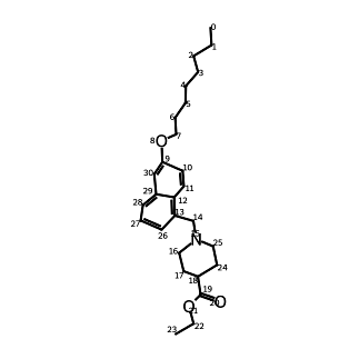 CCCCCCCCOc1ccc2c(CN3CCC(C(=O)OCC)CC3)cccc2c1